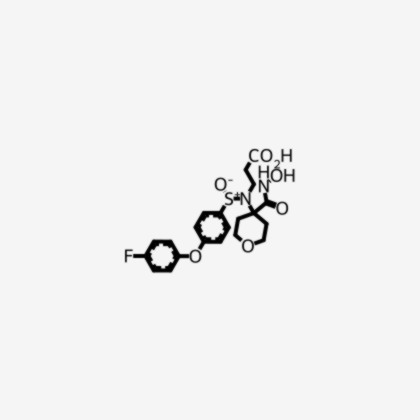 O=C(O)CCN([S+]([O-])c1ccc(Oc2ccc(F)cc2)cc1)C1(C(=O)NO)CCOCC1